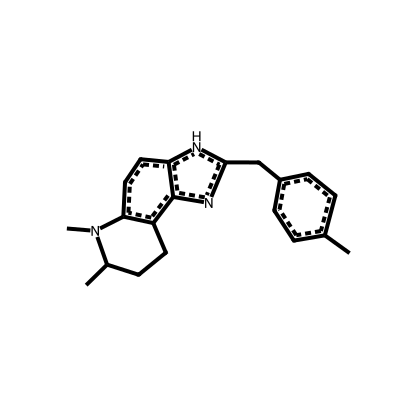 Cc1ccc(Cc2nc3c4c(ccc3[nH]2)N(C)C(C)CC4)cc1